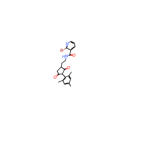 Cc1cc(C)c(C2C(=O)CC(CCNC(=O)c3cccnc3Br)C2=O)c(C)c1